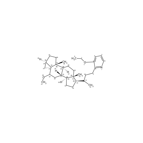 CCOc1cccnc1CCC(C)[C@H]1CC[C@H]2[C@@H]3CC(OC)[C@@]45C[C@H]4CC[C@]5(C)[C@H]3CC[C@]12C